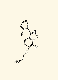 OCCOc1ccc2c(-c3ccccc3F)noc2c1Br